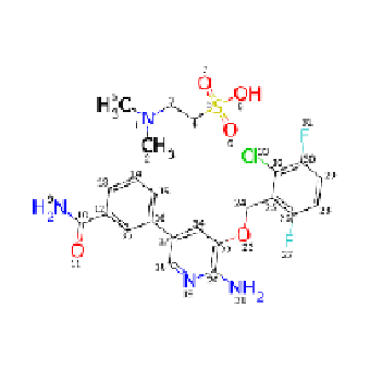 CN(C)CCS(=O)(=O)O.NC(=O)c1cccc(-c2cnc(N)c(OCc3c(F)ccc(F)c3Cl)c2)c1